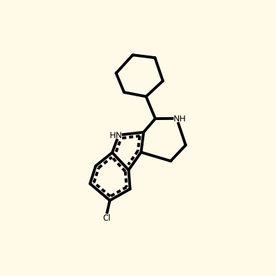 Clc1ccc2[nH]c3c(c2c1)CCNC3C1CCCCC1